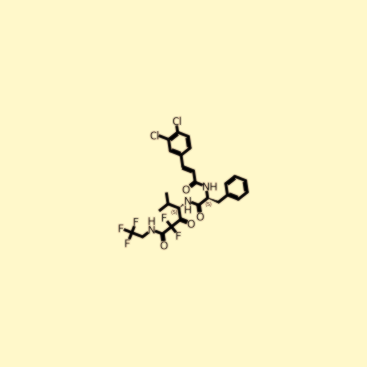 CC(C)[C@H](NC(=O)[C@H](Cc1ccccc1)NC(=O)C=Cc1ccc(Cl)c(Cl)c1)C(=O)C(F)(F)C(=O)NCC(F)(F)F